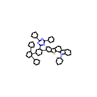 c1ccc(-c2nc(-c3ccccc3)nc(-c3cc(-c4c(-c5ccccc5)cccc4-c4ccccc4)ccc3-c3ccc4c(c3)sc3c4ccc4c5ccccc5n(-c5ccccc5)c43)n2)cc1